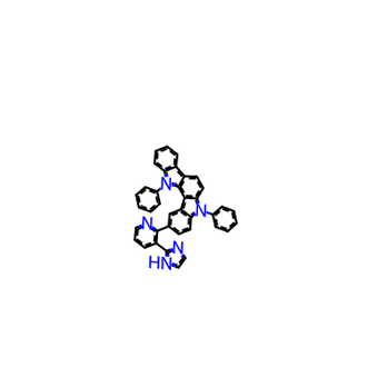 c1ccc(-n2c3ccc(-c4ncccc4-c4ncc[nH]4)cc3c3c2ccc2c4ccccc4n(-c4ccccc4)c23)cc1